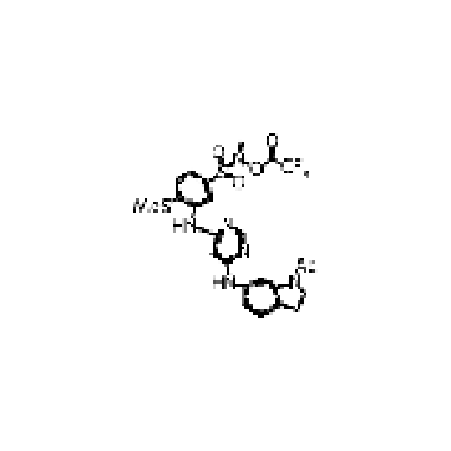 CSc1ccc(S(=O)(=O)N(C)OC(=O)C(F)(F)F)cc1Nc1cc(Nc2ccc3c(c2)N(C(C)=O)CC3)ncn1